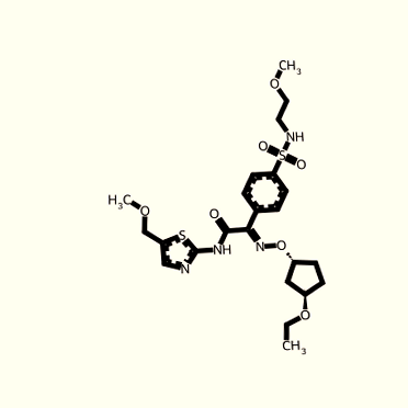 CCO[C@@H]1CC[C@@H](O/N=C(/C(=O)Nc2ncc(COC)s2)c2ccc(S(=O)(=O)NCCOC)cc2)C1